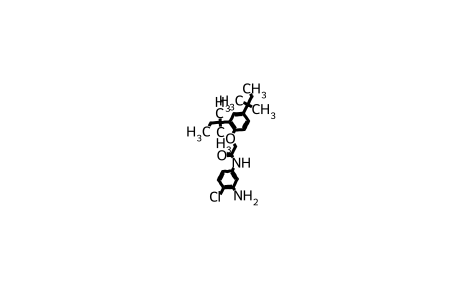 CCC(C)(C)c1ccc(OCC(=O)Nc2ccc(Cl)c(N)c2)c(C(C)(C)CC)c1